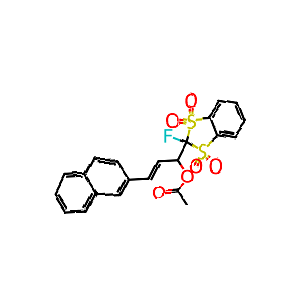 CC(=O)OC(/C=C/c1ccc2ccccc2c1)C1(F)S(=O)(=O)c2ccccc2S1(=O)=O